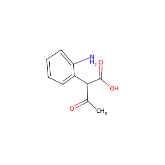 CC(=O)C(C(=O)O)c1ccccc1N